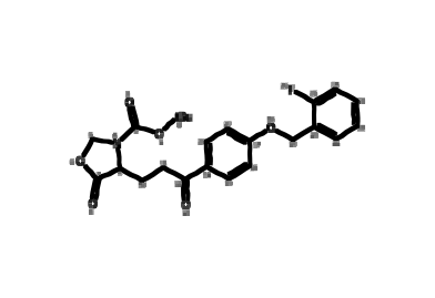 CC(C)(C)OC(=O)N1COC(=O)C1CCC(=O)c1ccc(OCc2ccccc2F)cc1